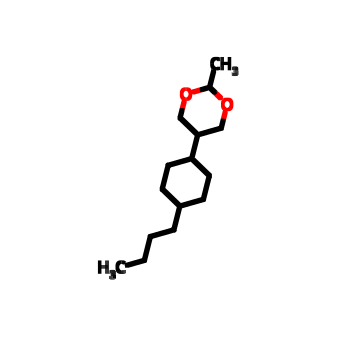 CCCCC1CCC(C2COC(C)OC2)CC1